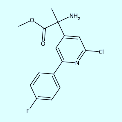 COC(=O)C(C)(N)c1cc(Cl)nc(-c2ccc(F)cc2)c1